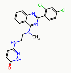 CN(CCNc1ccc(=O)[nH]n1)c1nc(-c2ccc(Cl)cc2Cl)nc2ccccc12